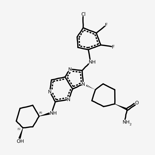 NC(=O)[C@H]1CC[C@H](n2c(Nc3ccc(Cl)c(F)c3F)nc3cnc(N[C@@H]4CCC[C@H](O)C4)nc32)CC1